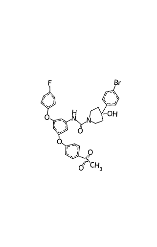 CS(=O)(=O)c1ccc(Oc2cc(NC(=O)N3CCC(O)(c4ccc(Br)cc4)CC3)cc(Oc3ccc(F)cc3)c2)cc1